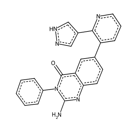 Nc1nc2ccc(-c3cccnc3-c3cn[nH]c3)cc2c(=O)n1-c1ccccc1